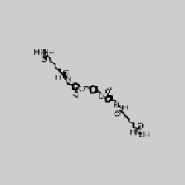 COc1cc(/C=N/NC(=O)CCCCCCC(=O)NO)ccc1OCc1ccc(COc2ccc(/C=N/NC(=O)CCCCCCC(=O)NO)cc2OC)cc1